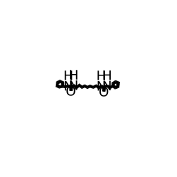 O=C(NCCCCCCCCCNC(=O)NCc1ccccc1)NCc1ccccc1